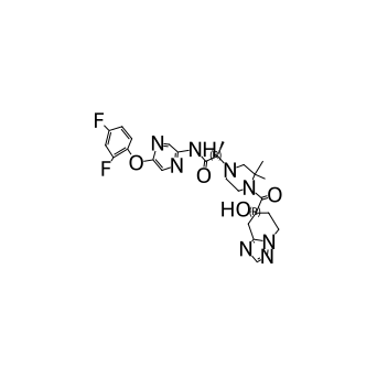 C[C@H](C(=O)Nc1cnc(Oc2ccc(F)cc2F)cn1)N1CCN(C(=O)[C@@]2(O)CCn3ncnc3C2)C(C)(C)C1